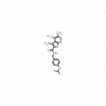 Cc1nnc2sc(C(=O)NCc3ccc(OC(F)F)cc3)c(N)c2c1C